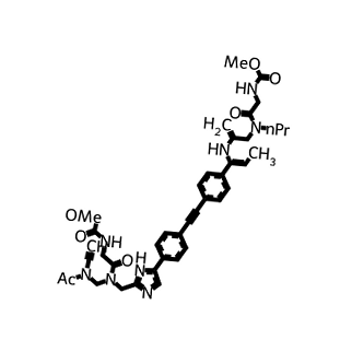 C#CN(CN(Cc1ncc(-c2ccc(C#Cc3ccc(/C(=C/C)NC(=C)CN(CCC)C(=O)CNC(=O)OC)cc3)cc2)[nH]1)C(=O)CNC(=O)OC)C(C)=O